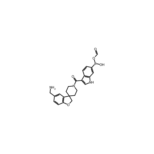 NCc1ccc2c(c1)C1(CCN(C(=O)c3c[nH]c4cc(B(O)OC=O)ccc34)CC1)CO2